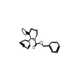 O=C1CCCN(C(=O)OCc2ccccc2)C1c1ccccc1